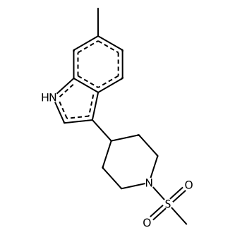 Cc1ccc2c(C3CCN(S(C)(=O)=O)CC3)c[nH]c2c1